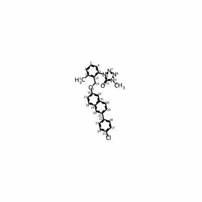 Cc1cccc(-n2nnn(C)c2=O)c1COc1ccc2cc(-c3ccc(Cl)cc3)ccc2c1